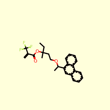 C=C(C(=O)OC(C)(CC)CCOC(C)c1cc2ccccc2c2ccccc12)C(F)(F)F